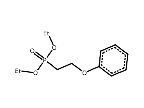 CCOP(=O)(CCOc1[c]cccc1)OCC